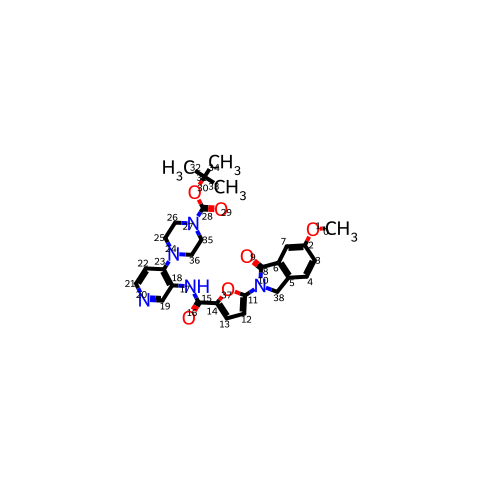 COc1ccc2c(c1)C(=O)N(c1ccc(C(=O)Nc3cnccc3N3CCN(C(=O)OC(C)(C)C)CC3)o1)C2